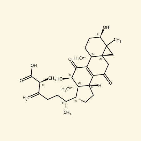 C=C(CC[C@@H](C)[C@H]1CC[C@H]2C3=C(C(=O)[C@H](O)[C@]12C)[C@@]1(C)CC[C@@H](O)C2(C)C[C@]21CC3=O)[C@H](C)C(=O)O